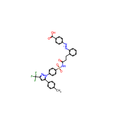 Cc1ccc(-c2cc(C(F)(F)F)nn2-c2ccc(S(=O)(=O)NC(=O)CCc3ccccc3/N=N/c3ccc(C(=O)O)cc3)cc2)cc1